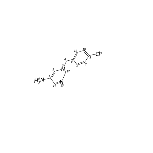 NC1=CN(Cc2ccc(Cl)cc2)CN=C1